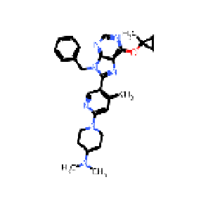 Cc1cc(N2CCC(N(C)C)CC2)ncc1-c1nc2c(OC3(C)CC3)ncnc2n1Cc1ccccc1